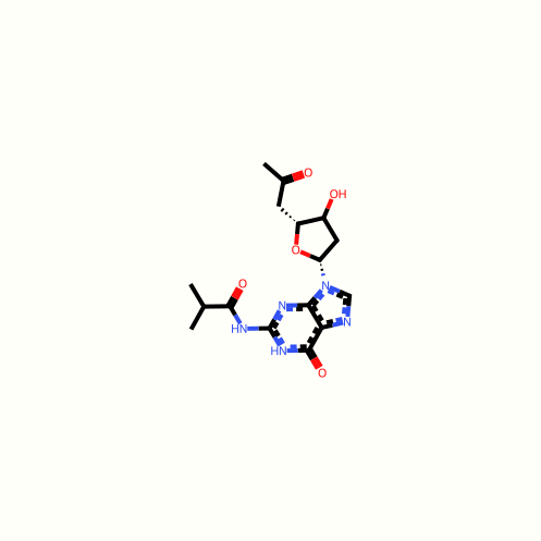 CC(=O)C[C@H]1O[C@@H](n2cnc3c(=O)[nH]c(NC(=O)C(C)C)nc32)CC1O